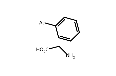 CC(=O)c1ccccc1.NCC(=O)O